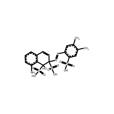 Cc1cc(N=NC2(S(=O)(=O)O)C=Cc3cccc(N)c3C2(O)S(=O)(=O)O)c(S(=O)(=O)O)cc1C